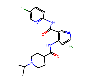 CC(C)N1CCC(C(=O)Nc2ccncc2C(=O)Nc2ccc(Cl)cn2)CC1.Cl